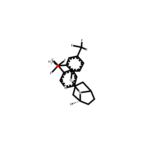 NOc1cc(C(F)(F)F)ccc1OC1CC2CC[C@@H](C1)N2c1ccc(C(F)(F)F)cn1